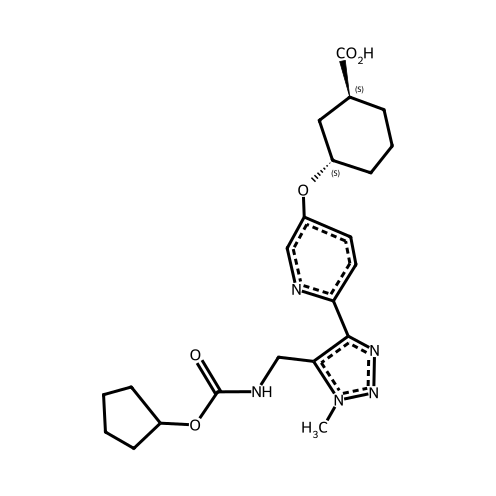 Cn1nnc(-c2ccc(O[C@H]3CCC[C@H](C(=O)O)C3)cn2)c1CNC(=O)OC1CCCC1